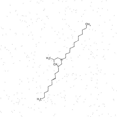 CCCCCCCCCCCCN(CCCCCCCCCCCC)CC(C)C